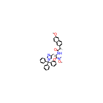 COc1ccc2cc([C@H](C)C(=O)N[C@@H](Cc3cn(C(c4ccccc4)(c4ccccc4)c4ccccc4)cn3)C(=O)N(C)OC)ccc2c1